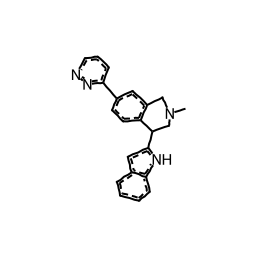 CN1Cc2cc(-c3cccnn3)ccc2C(c2cc3ccccc3[nH]2)C1